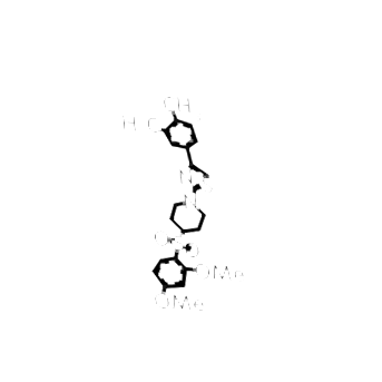 COc1ccc(S(=O)(=O)C2CCN(c3nc(-c4ccc(C)c(C)c4)cs3)CC2)c(OC)c1